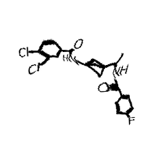 CC(NC(=O)c1ccc(F)cc1)C12CC(NC(=O)c3ccc(Cl)c(Cl)c3)(C1)C2